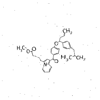 C=CCC(Oc1ccc(C(=O)c2cc(CCCC(=O)OCC)n3ccccc23)cc1)c1ccc(CC(C)C)cc1